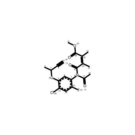 C#CC(C)Oc1cc(N(C(C)=O)C(=O)/C(C)=C(/C)C(=O)OC)c(F)cc1Cl